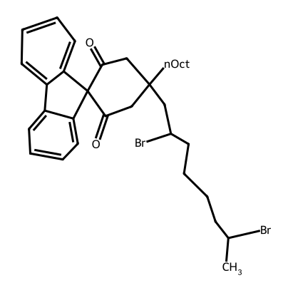 CCCCCCCCC1(CC(Br)CCCCC(C)Br)CC(=O)C2(C(=O)C1)c1ccccc1-c1ccccc12